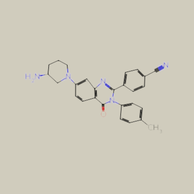 Cc1ccc(-n2c(-c3ccc(C#N)cc3)nc3cc(N4CCC[C@H](N)C4)ccc3c2=O)cc1